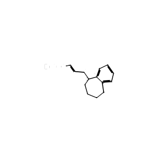 CCOC(=O)C=CCC1CCCCc2ccccc21